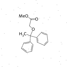 COC(=O)COC(C)(c1ccccc1)c1ccccc1